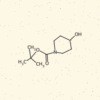 CC(C)(C)OC(=O)N1CC[C](O)CC1